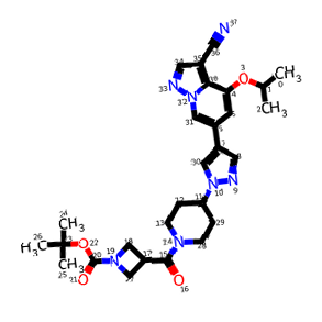 CC(C)Oc1cc(-c2cnn(C3CCN(C(=O)C4CN(C(=O)OC(C)(C)C)C4)CC3)c2)cn2ncc(C#N)c12